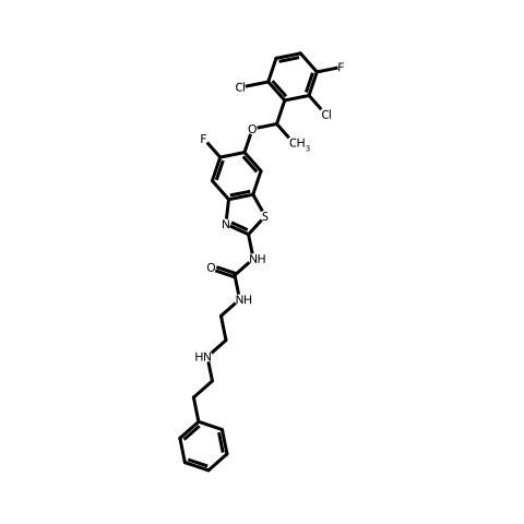 CC(Oc1cc2sc(NC(=O)NCCNCCc3ccccc3)nc2cc1F)c1c(Cl)ccc(F)c1Cl